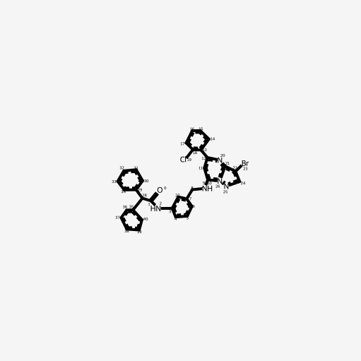 O=C(Nc1cccc(CNc2cc(-c3ccccc3Cl)nc3c(Br)cnn23)c1)C(c1ccccc1)c1ccccc1